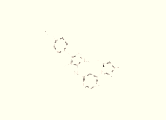 Cc1cc(C)n(-c2cc(Nc3c(C)c(-c4ccc(C#N)cc4)nn3C)ncn2)n1